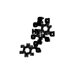 O=C1Nc2c(c(Cl)cc(Cl)c2[N+](=O)[O-])C(=O)C1=NOC(=O)c1ccccc1